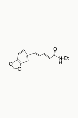 CCNC(=O)/C=C/C=Cc1ccc2c(c1)OCO2